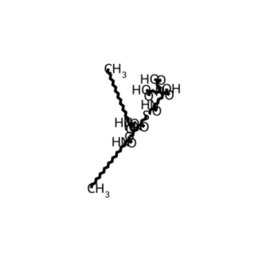 CCCCCCCCCCCCCCCCCNC(=O)OCC(CNC(=O)CCSCCC(=O)NCCCC(C(=O)O)N(CCC(=O)O)CCC(=O)O)OC(=O)NCCCCCCCCCCCCCCCCC